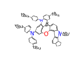 CC(C)(C)c1ccc(N(c2ccc(C(C)(C)C)cc2)c2cc3c4c(c2)N(c2ccc(C(C)(C)C)cc2)c2ccc(C(C)(C)C)cc2B4c2ccc4c(c2O3)c2ccc3c(c2n4C(C)(C)C)CCC3)cc1